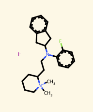 C[N+]1(C)CCCCC1CCN(c1ccccc1F)C1Cc2ccccc2C1.[I-]